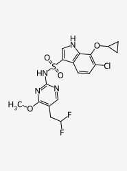 COc1nc(NS(=O)(=O)c2c[nH]c3c(OC4CC4)c(Cl)ccc23)ncc1CC(F)F